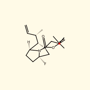 C=CCN1C[C@@]2(F)CC[C@@H]([C@@H]1[C@@H](C)C=C)N2C(=O)OC(C)(C)C